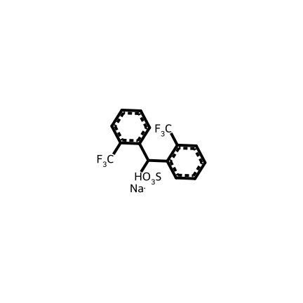 O=S(=O)(O)C(c1ccccc1C(F)(F)F)c1ccccc1C(F)(F)F.[Na]